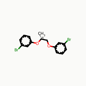 C[C@H](COc1cccc(Br)c1)Oc1cccc(Br)c1